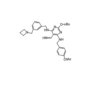 CCCCOc1nc(NCc2ccc(OC)cc2)c(C=N)c(NCc2cccc(CN3CCC3)c2)n1